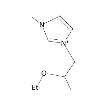 CCOC(C)C[n+]1ccn(C)c1